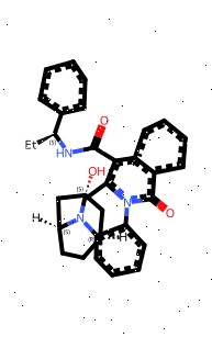 CC[C@H](NC(=O)c1c(CN2[C@@H]3CC[C@H]2C[C@H](O)C3)n(-c2ccccc2)c(=O)c2ccccc12)c1ccccc1